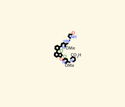 COc1nc(-c2cccc(-c3cccc4c3CC[C@@H]4Oc3nc(OC)c(CN4CCC[C@@H](C(=O)O)C4)cc3Cl)c2Cl)ccc1CNC[C@@H]1CCC(=O)N1